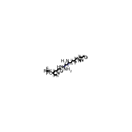 N/C(=C\C=C(/N)NC(=O)Cc1cc(OCC(F)(F)F)ccn1)CCC(F)Cn1cc(C=O)nn1